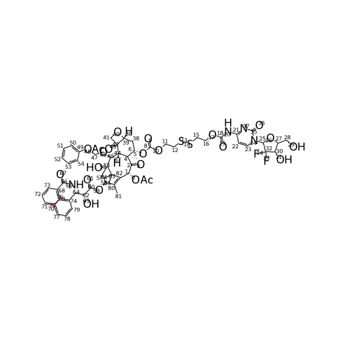 CC(=O)O[C@H]1C(=O)[C@]2(C)[C@@H](OC(=O)OCCSSCCOC(=O)Nc3ccn(C4OC(CO)C(O)C4(F)F)c(=O)n3)C[C@H]3OC[C@@]3(OC(C)=O)[C@H]2[C@H](OCOc2ccccc2)[C@]2(O)C[C@H](OC(=O)[C@H](O)[C@@H](NC(=O)c3ccccc3)c3ccccc3)C(C)=C1C2(C)C